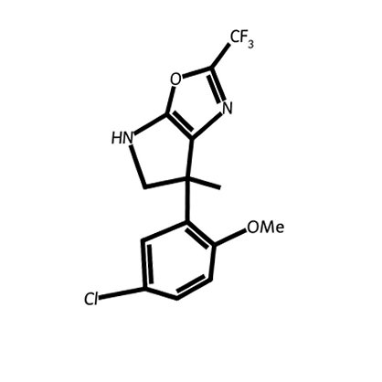 COc1ccc(Cl)cc1C1(C)CNc2oc(C(F)(F)F)nc21